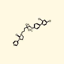 CC(C)(CCCN1CCN(c2ccncc2)C1=O)COc1ccc(-c2ccc(Cl)cc2Cl)cc1